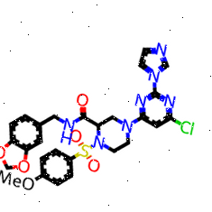 COc1ccc(S(=O)(=O)N2CCN(c3cc(Cl)nc(-n4ccnc4)n3)CC2C(=O)NCc2ccc3c(c2)OCO3)cc1